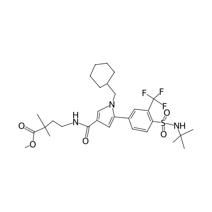 COC(=O)C(C)(C)CCNC(=O)c1cc(-c2ccc(S(=O)(=O)NC(C)(C)C)c(C(F)(F)F)c2)n(CC2CCCCC2)c1